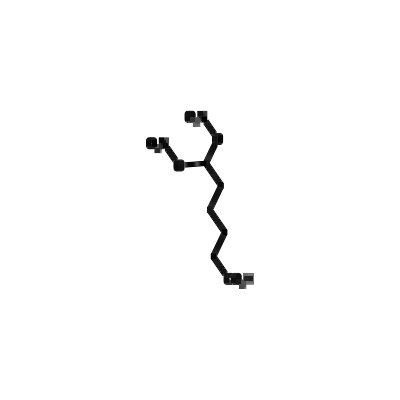 O=C(O)CCCCC(O[N+](=O)[O-])O[N+](=O)[O-]